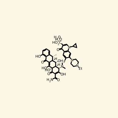 CCN1CCN(c2cc3c(cc2F)c(=O)c(C(=O)O)cn3C2CC2)CC1.C[C@H]1c2cccc(O)c2C(=O)C2=C(O)[C@]3(O)C(=O)C(C(N)=O)=C(O)[C@@H](N(C)C)[C@@H]3[C@@H](O)[C@@H]21.O.O